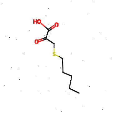 CCCCCSCC(=O)C(=O)O